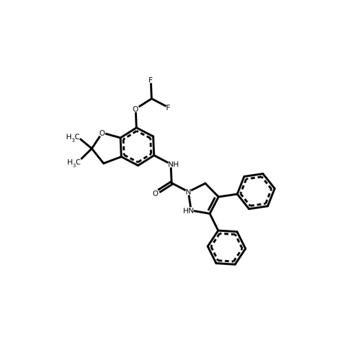 CC1(C)Cc2cc(NC(=O)N3CC(c4ccccc4)=C(c4ccccc4)N3)cc(OC(F)F)c2O1